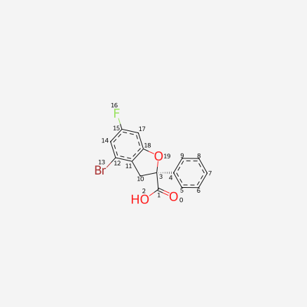 O=C(O)[C@@]1(c2ccccc2)Cc2c(Br)cc(F)cc2O1